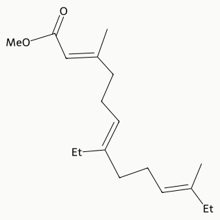 CCC(C)=CCCC(=CCCC(C)=CC(=O)OC)CC